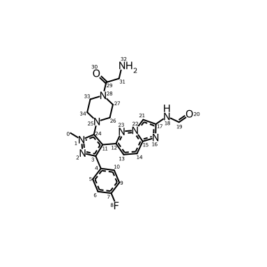 Cn1nc(-c2ccc(F)cc2)c(-c2ccc3nc(NC=O)cn3n2)c1N1CCN(C(=O)CN)CC1